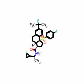 C[C@@H](NC(=O)[C@@H]1CC[C@@]2(S(=O)(=O)c3ccc(F)cc3)c3ccc(C(C)(F)C(F)(F)F)cc3CC[C@@H]12)C1CC1